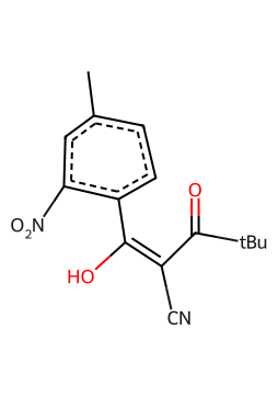 Cc1ccc(C(O)=C(C#N)C(=O)C(C)(C)C)c([N+](=O)[O-])c1